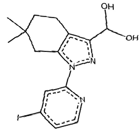 CC1(C)CCc2c(C(O)O)nn(-c3cc(I)ccn3)c2C1